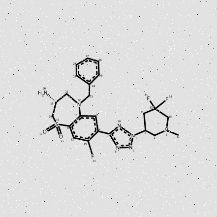 CN1CC(n2nnc(-c3cc4c(cc3F)S(=O)(=O)C[C@H](N)CN4Cc3ccccc3)n2)CC(F)(F)C1